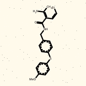 CC/C=C\C(C(=O)NCc1ccc(Sc2ccc(OC)cc2)cc1)=C(/C)N